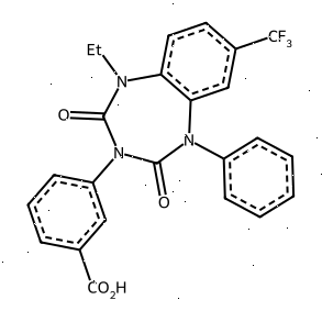 CCN1C(=O)N(c2cccc(C(=O)O)c2)C(=O)N(c2ccccc2)c2cc(C(F)(F)F)ccc21